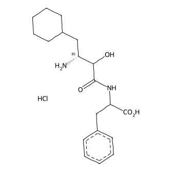 Cl.N[C@H](CC1CCCCC1)C(O)C(=O)NC(Cc1ccccc1)C(=O)O